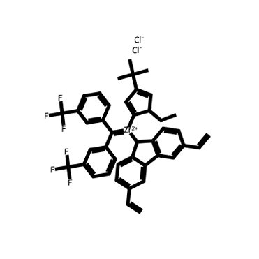 C=Cc1ccc2c(c1)-c1cc(C=C)ccc1[CH]2[Zr+2]([C]1=CC(C(C)(C)C)=CC1CC)=[C](c1cccc(C(F)(F)F)c1)c1cccc(C(F)(F)F)c1.[Cl-].[Cl-]